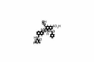 O=C(Nc1cc(S(=O)(=O)O)cc2cc(SOOO)c(N=Nc3ccc4c(CNc5nc(F)nc(F)c5Cl)cccc4c3S(=O)(=O)O)c(O)c12)c1ccccc1